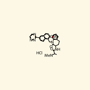 CNC(C)C(=O)NC1CCc2ccccc2N(Cc2c(OC)ccc3cc(-c4nccnn4)ccc23)C1=O.Cl